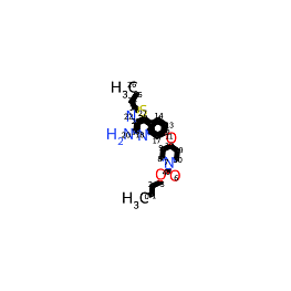 CCCCOC(=O)N1CCC(Oc2ccc3c(c2)nc(N)c2nc(CCC)sc23)CC1